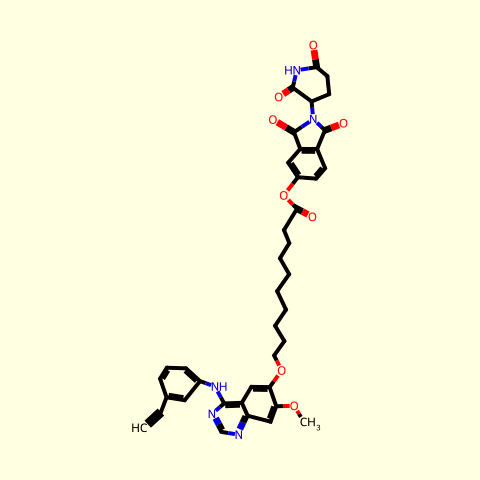 C#Cc1cccc(Nc2ncnc3cc(OC)c(OCCCCCCCCCC(=O)Oc4ccc5c(c4)C(=O)N(C4CCC(=O)NC4=O)C5=O)cc23)c1